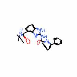 CC(C)(C)NC(=O)c1cccc2[nH]c(NC(=O)c3cccc(-c4ccccc4)n3)nc12